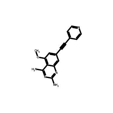 COc1cc(C#Cc2ccncc2)cc2nc(N)nc(N)c12